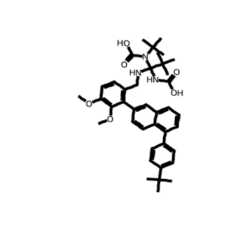 COc1ccc(CNC(NC(=O)O)(N(C(=O)O)C(C)(C)C)C(C)(C)C)c(-c2ccc3c(-c4ccc(C(C)(C)C)cc4)cccc3c2)c1OC